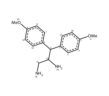 COc1ccc(C(c2ccc(OC)cc2)C(N)CN)cc1